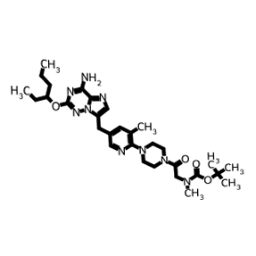 CCCC(CC)Oc1nc(N)c2ncc(Cc3cnc(N4CCN(C(=O)CN(C)C(=O)OC(C)(C)C)CC4)c(C)c3)n2n1